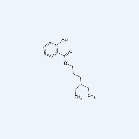 CCC(CC)CCCOC(=O)c1ccccc1O